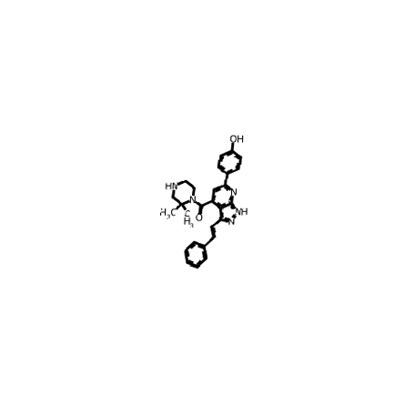 CC1(C)CNCCN1C(=O)c1cc(-c2ccc(O)cc2)nc2[nH]nc(/C=C/c3ccccc3)c12